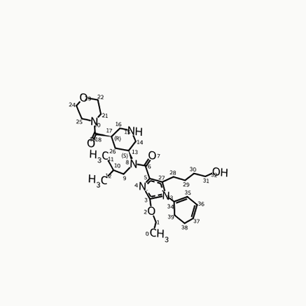 CCOc1nc(C(=O)N(CC(C)C)[C@@H]2CNC[C@H](C(=O)N3CCOCC3)C2)c(CCCCO)n1C1=CC=CCC1